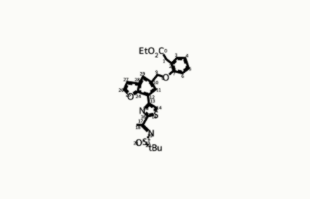 CCOC(=O)Cc1ccccc1OCc1cc(-c2csc(C(C)=N[S+]([O-])C(C)(C)C)n2)c2occc2c1